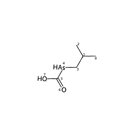 C[C](C)C[AsH]C(=O)O